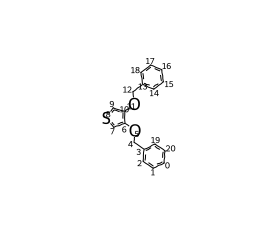 c1ccc(COc2cscc2OCc2ccccc2)cc1